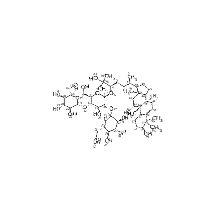 C[C@H](CC[C@@H](O[C@@H]1O[C@H](CO)[C@@H](O[C@H]2O[C@@H](CO)[C@H](O)[C@@H](O)[C@@H]2O)[C@H](O)[C@H]1O[C@H]1O[C@@H](CO)[C@H](O)[C@@H](O)[C@@H]1O)C(C)(C)O)C1CC[C@@]2(C)C3CC=C4C(CC[C@H](O)C4(C)C)[C@]3(C)[C@H](O)C[C@]12C